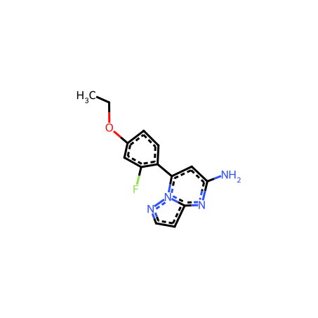 CCOc1ccc(-c2cc(N)nc3ccnn23)c(F)c1